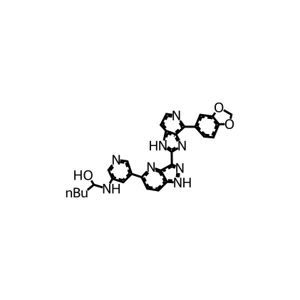 CCCCC(O)Nc1cncc(-c2ccc3[nH]nc(-c4nc5c(-c6ccc7c(c6)OCO7)nccc5[nH]4)c3n2)c1